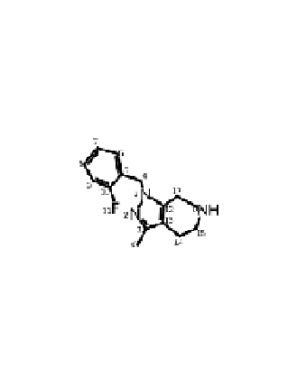 Cc1nn(Cc2ccccc2F)c2c1CCNC2